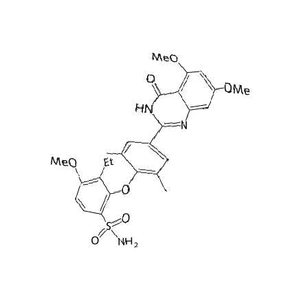 CCc1c(OC)ccc(S(N)(=O)=O)c1Oc1c(C)cc(-c2nc3cc(OC)cc(OC)c3c(=O)[nH]2)cc1C